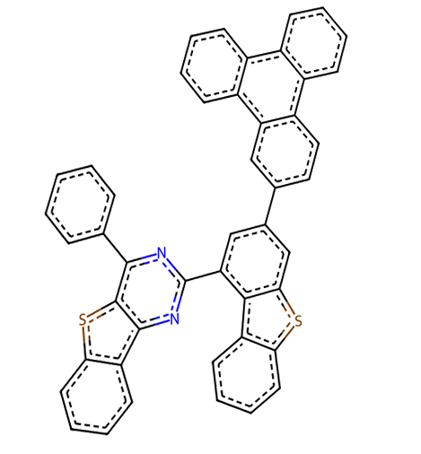 c1ccc(-c2nc(-c3cc(-c4ccc5c6ccccc6c6ccccc6c5c4)cc4sc5ccccc5c34)nc3c2sc2ccccc23)cc1